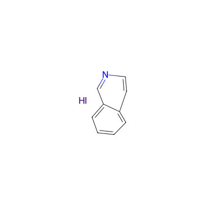 I.c1ccc2cnccc2c1